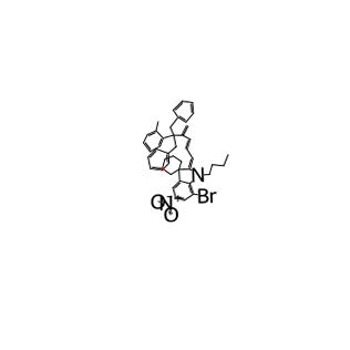 C=C(/C=C/C=C1/N(CCCC)c2c(Br)cc([N+](=O)[O-])cc2C12CCCCC2)C(Cc1ccccc1)(Cc1ccccc1)c1ccccc1C